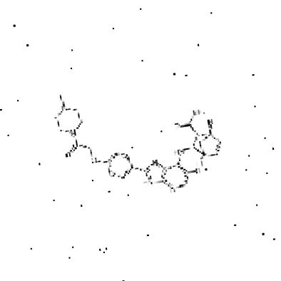 CN1CCN(C(=O)COc2ccc(-c3nc4c(N[C@H]5[C@@H](C(N)=O)[C@@H]6C=C[C@H]5C6)c(Cl)cnc4[nH]3)cc2)CC1